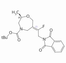 C[C@@H]1CN(C(=O)OC(C)(C)C)C/C(=C(/F)CN2C(=O)c3ccccc3C2=O)CO1